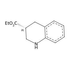 CCOC(=O)[C@H]1CNc2ccccc2C1